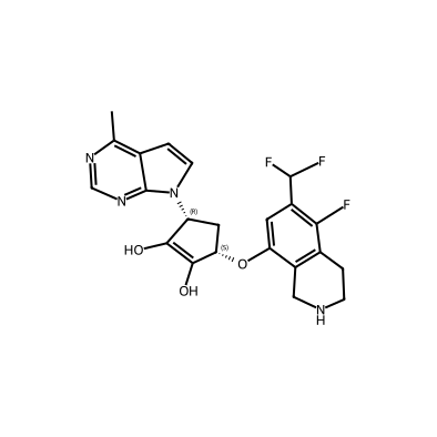 Cc1ncnc2c1ccn2[C@@H]1C[C@H](Oc2cc(C(F)F)c(F)c3c2CNCC3)C(O)=C1O